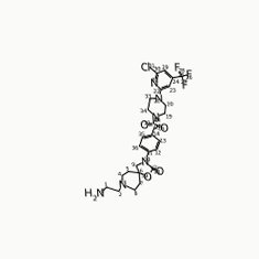 NCCN1CCC2(CC1)CN(c1ccc(S(=O)(=O)N3CCN(c4cc(C(F)(F)F)cc(Cl)n4)CC3)cc1)C(=O)O2